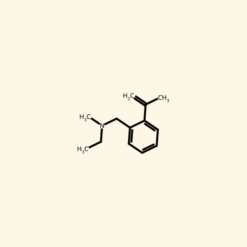 C=C(C)c1ccccc1CN(C)CC